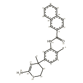 CC1(c2ccc(F)c(NC(=O)c3ccc4ccccc4c3)c2)CCSC(N)=N1